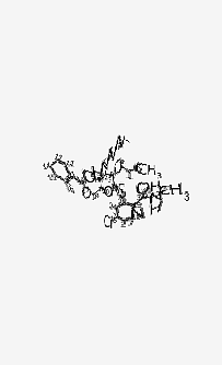 CCO[C@@H]1C(N=[N+]=[N-])[C@H]2OC(c3ccccc3)OCC2O[C@@H]1Sc1cc(Cl)cnc1C(O)NC